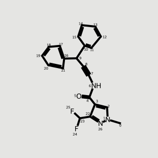 Cn1cc(C(=O)NC#CC(c2ccccc2)c2ccccc2)c(C(F)F)n1